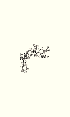 COC1C=C(C2CC2)CCC1C(=O)N(C1CC1)C1CCC2NN(C(=O)OCC3=CC=CCC3)CC2C1